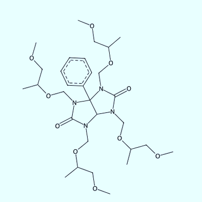 COCC(C)OCN1C(=O)N(COC(C)COC)C2(c3ccccc3)C1N(COC(C)COC)C(=O)N2COC(C)COC